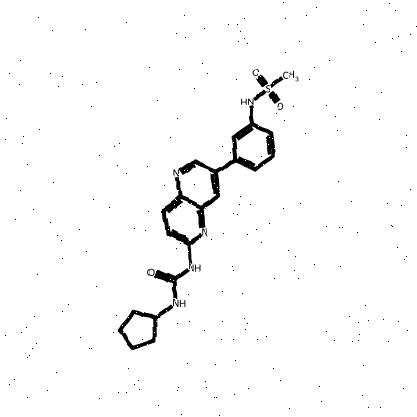 CS(=O)(=O)Nc1cccc(-c2cnc3ccc(NC(=O)NC4CCCC4)nc3c2)c1